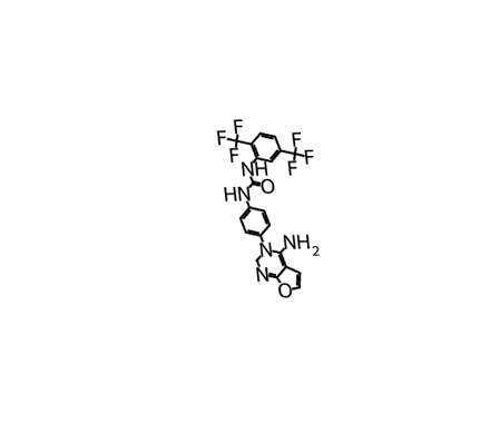 NC1=c2ccoc2=NCN1c1ccc(NC(=O)Nc2cc(C(F)(F)F)ccc2C(F)(F)F)cc1